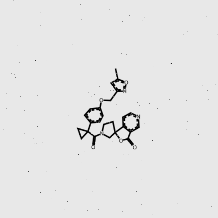 Cc1cc(COc2ccc(C3(C(=O)N4CCC5(C4)OC(=O)c4cnccc45)CC3)cc2)no1